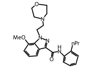 CCCc1ccccc1NC(=O)c1nn(CCN2CCOCC2)c2c(OC)cccc12